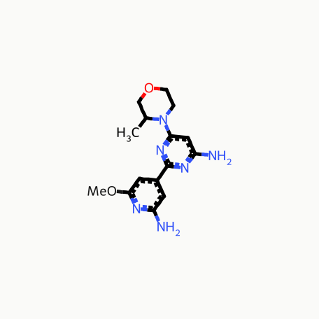 COc1cc(-c2nc(N)cc(N3CCOCC3C)n2)cc(N)n1